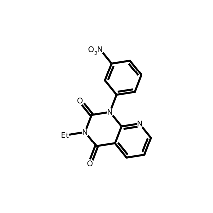 CCn1c(=O)c2cccnc2n(-c2cccc([N+](=O)[O-])c2)c1=O